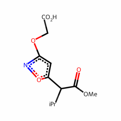 COC(=O)C(c1cc(OCC(=O)O)no1)C(C)C